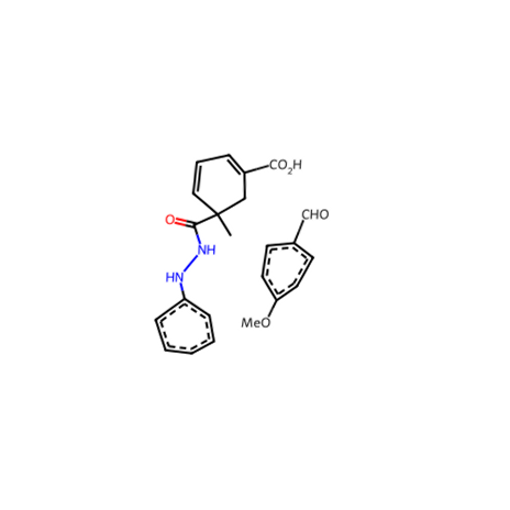 CC1(C(=O)NNc2ccccc2)C=CC=C(C(=O)O)C1.COc1ccc(C=O)cc1